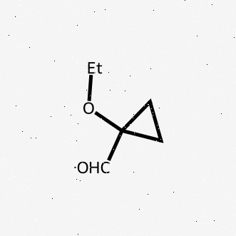 [CH2]COC1([C]=O)CC1